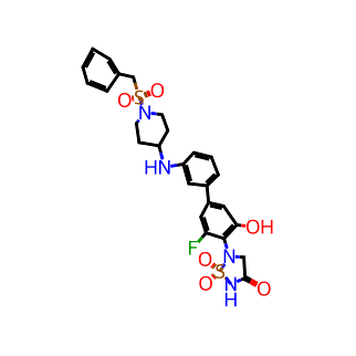 O=C1CN(c2c(O)cc(-c3cccc(NC4CCN(S(=O)(=O)Cc5ccccc5)CC4)c3)cc2F)S(=O)(=O)N1